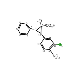 CC[C@@]1(C(=O)O)[C@@H](c2ccccc2)[C@@H]1c1ccc([N+](=O)[O-])c(Br)c1